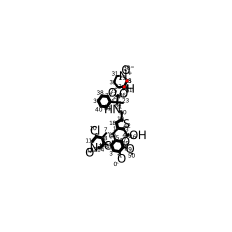 COc1ccc([C@H](Cc2c(Cl)c[n+]([O-])cc2Cl)c2cc(CNC(C)(C(=O)O[C@H]3C[N+]4([O-])CCC3CC4)c3ccccc3)sc2C(=O)O)cc1OC